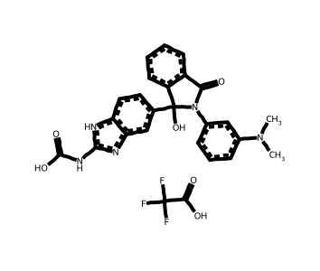 CN(C)c1cccc(N2C(=O)c3ccccc3C2(O)c2ccc3[nH]c(NC(=O)O)nc3c2)c1.O=C(O)C(F)(F)F